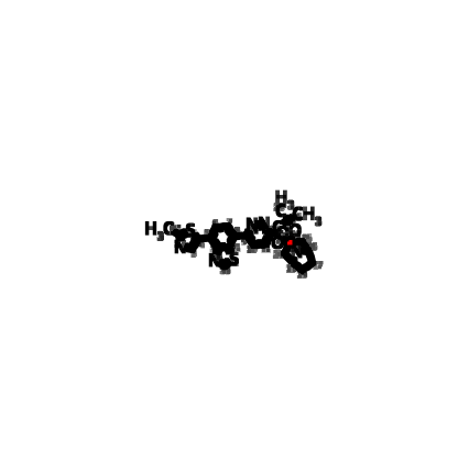 Cc1ncc(-c2ccc(-c3ccc(OC4CC5CCC(C4)N5C(=O)OC(C)(C)C)nn3)c3scnc23)s1